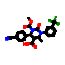 COC(=O)N1C(=O)N(c2cccc(C(F)(F)F)c2)C(C)=C(C(=O)O)C1c1ccc(C#N)cc1